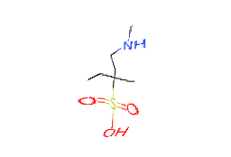 CNCC(C)(C)S(=O)(=O)O